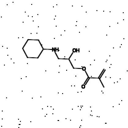 C=C(C)C(=O)OCC(O)CNC1CCCCC1